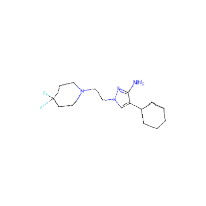 Nc1nn(CCN2CCC(F)(F)CC2)cc1C1CCCCC1